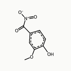 COc1cc(C(=O)[N+](=O)[O-])ccc1O